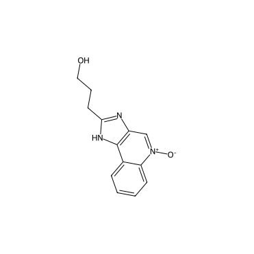 [O-][n+]1cc2nc(CCCO)[nH]c2c2ccccc21